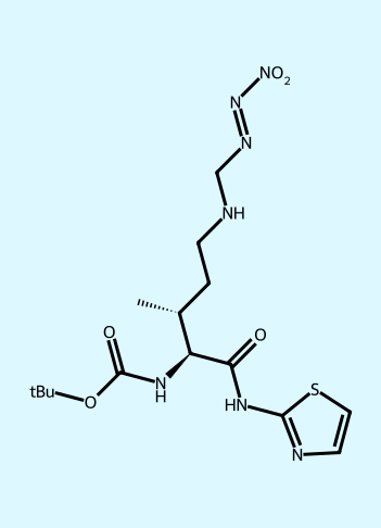 C[C@H](CCNC/N=N/[N+](=O)[O-])[C@H](NC(=O)OC(C)(C)C)C(=O)Nc1nccs1